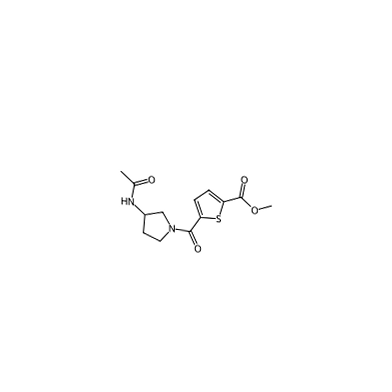 COC(=O)c1ccc(C(=O)N2CCC(NC(C)=O)C2)s1